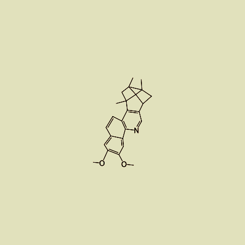 COc1cc2ccc3c4c(cnc3c2cc1OC)C1CC2(C)C3(C)CC4(C)C123